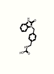 O=C(O)NCc1ccc(Cn2c(=O)[nH]c3ccccc32)cc1